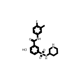 Cc1cc(NC(=O)c2cccc(S(=O)(=O)NC3CCCNC3)c2)ccc1F.Cl